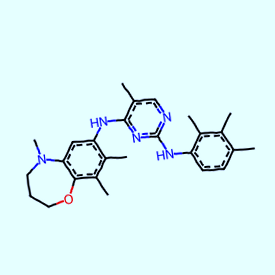 Cc1cnc(Nc2ccc(C)c(C)c2C)nc1Nc1cc2c(c(C)c1C)OCCCN2C